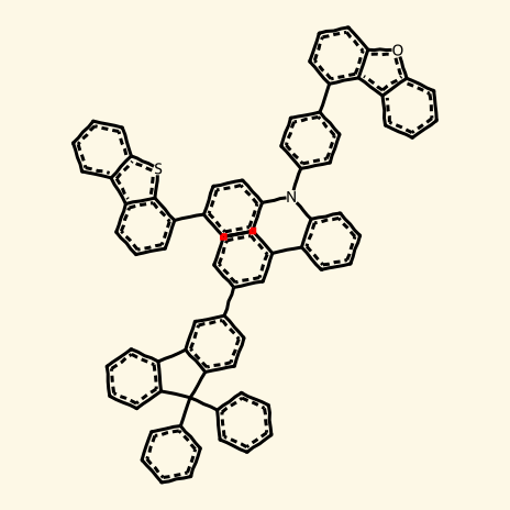 c1ccc(C2(c3ccccc3)c3ccccc3-c3cc(-c4cccc(-c5ccccc5N(c5ccc(-c6cccc7c6sc6ccccc67)cc5)c5ccc(-c6cccc7oc8ccccc8c67)cc5)c4)ccc32)cc1